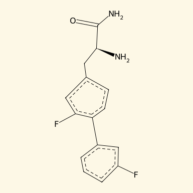 NC(=O)[C@@H](N)Cc1ccc(-c2cccc(F)c2)c(F)c1